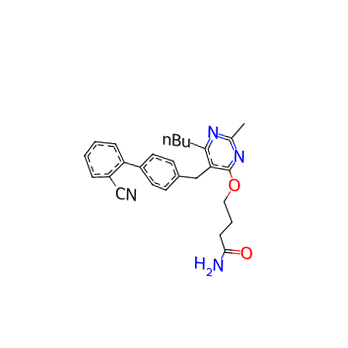 CCCCc1nc(C)nc(OCCCC(N)=O)c1Cc1ccc(-c2ccccc2C#N)cc1